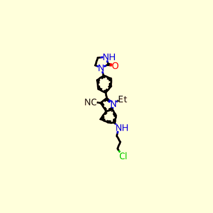 CCn1c(-c2ccc(N3CCNC3=O)cc2)c(C#N)c2ccc(NCCCCl)cc21